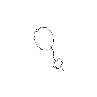 Cc1ccc(CCN2CCCCCCCCCCC2)cc1